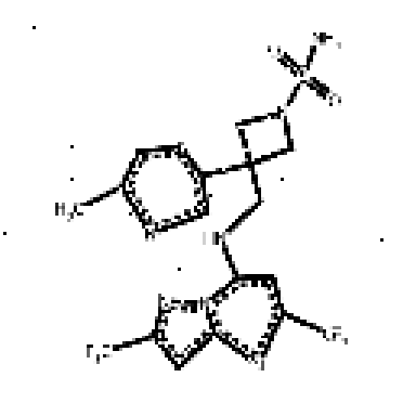 Cc1ccc(C2(CNc3cc(C(F)(F)F)nc4cc(C(F)(F)F)nn34)CN(S(N)(=O)=O)C2)cn1